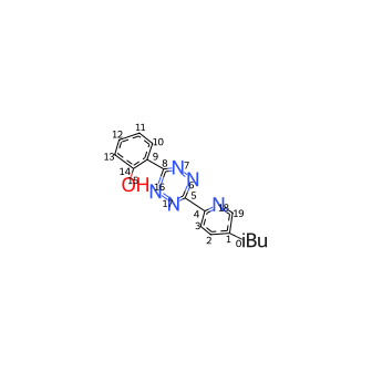 CCC(C)c1ccc(-c2nnc(-c3ccccc3O)nn2)nc1